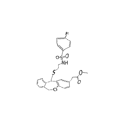 COC(=O)Cc1ccc2c(c1)C(SCCNS(=O)(=O)c1ccc(F)cc1)c1ccccc1CO2